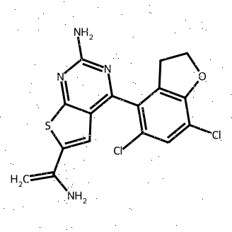 C=C(N)c1cc2c(-c3c(Cl)cc(Cl)c4c3CCO4)nc(N)nc2s1